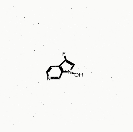 On1cc(F)c2ccncc21